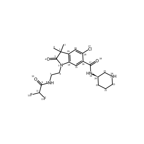 CC1(C)C(=O)N(CCNC(=O)C(F)F)c2cc(C(=O)N[C@@H]3CCCNC3)c(Cl)cc21